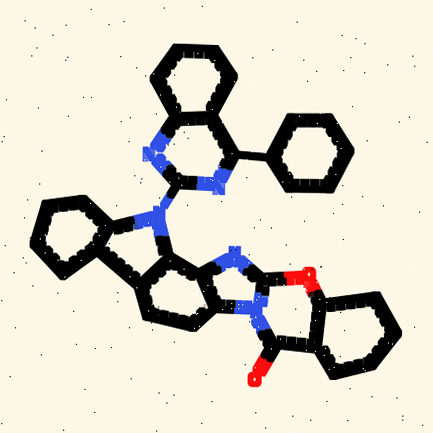 O=c1c2ccccc2oc2nc3c4c(ccc3n12)c1ccccc1n4-c1nc(-c2ccccc2)c2ccccc2n1